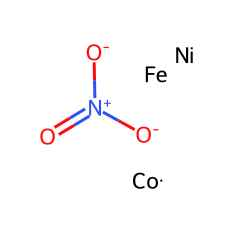 O=[N+]([O-])[O-].[Co].[Fe].[Ni]